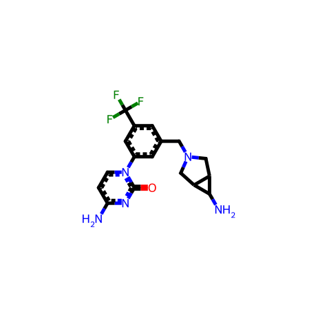 Nc1ccn(-c2cc(CN3CC4C(N)C4C3)cc(C(F)(F)F)c2)c(=O)n1